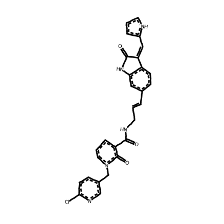 O=C1Nc2cc(C=CCNC(=O)c3cccn(Cc4ccc(Cl)nc4)c3=O)ccc2C1=Cc1ccc[nH]1